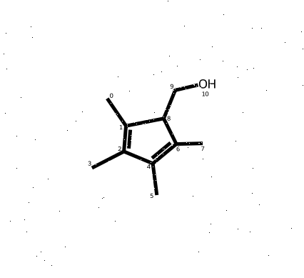 CC1=C(C)C(C)=C(C)[C]1CO